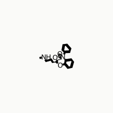 CNCCC[C@@H]1Oc2ccccc2N(c2ccccc2)S1(=O)=O